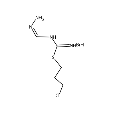 Br.N=C(N/C=N\N)SCCCCl